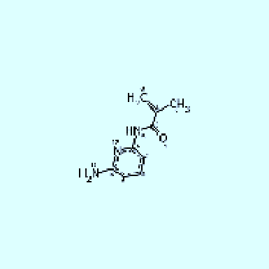 C=C(C)C(=O)Nc1cccc(N)n1